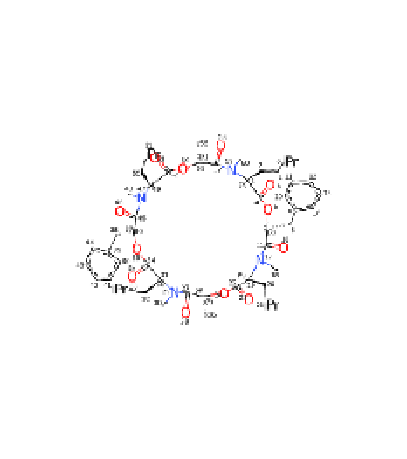 CC(C)CC[C@H]1C(=O)O[C@H](Cc2ccccc2)C(=O)N(C)[C@@H](CC(C)C)C(=O)O[C@H](C)C(=O)N(C)[C@@H](CC(C)C)C(=O)O[C@H](Cc2ccccc2)C(=O)N(C)[C@@H](CC(C)C)C(=O)O[C@H](C)C(=O)N1C